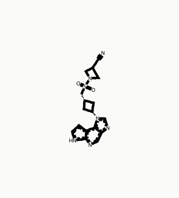 N#CC1CN(S(=O)(=O)C[C@H]2C[C@@H](n3cnc4cnc5[nH]ccc5c43)C2)C1